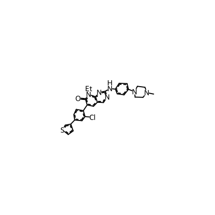 CCn1c(=O)c(-c2ccc(-c3ccsc3)cc2Cl)cc2cnc(Nc3ccc(N4CCN(C)CC4)cc3)nc21